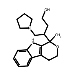 CC1(C(CCO)CN2CCCC2)OCCc2c1[nH]c1ccccc21